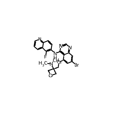 CN(C)C1(COc2cc(Br)cc3ncnc(Nc4ccc5ncccc5c4F)c23)COC1